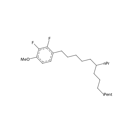 CCCC(C)CCCC(CCC)CCCCCc1ccc(OC)c(F)c1F